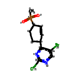 CS(=O)(=O)C1C=CC(c2nc(Cl)ncc2Br)CC1